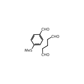 CSc1ccc(C=O)cc1.O=CCCCC=O